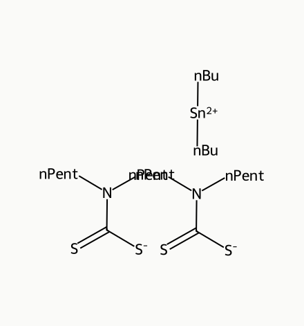 CCCCCN(CCCCC)C(=S)[S-].CCCCCN(CCCCC)C(=S)[S-].CCC[CH2][Sn+2][CH2]CCC